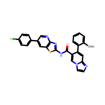 COc1ccccc1-c1cc2nccn2cc1C(=O)Nc1nc2ncc(-c3ccc(Cl)cc3)cc2s1